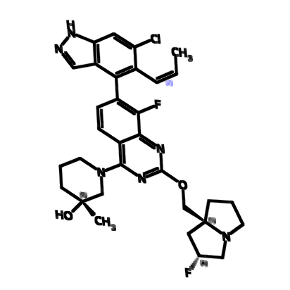 C/C=C\c1c(Cl)cc2[nH]ncc2c1-c1ccc2c(N3CCC[C@@](C)(O)C3)nc(OC[C@@]34CCCN3C[C@H](F)C4)nc2c1F